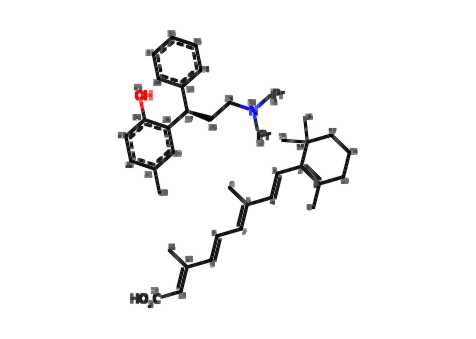 CC1=C(/C=C/C(C)=C/C=C/C(C)=C/C(=O)O)C(C)(C)CCC1.Cc1ccc(O)c([C@H](CCN(C(C)C)C(C)C)c2ccccc2)c1